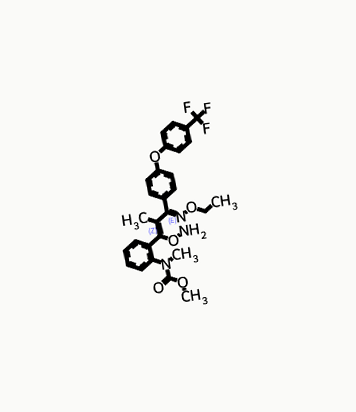 CCO/N=C(/C(C)=C(\ON)c1ccccc1N(C)C(=O)OC)c1ccc(Oc2ccc(C(F)(F)F)cc2)cc1